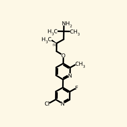 Cc1nc(-c2cc(Cl)ncc2F)ccc1OC[C@@H](C)CC(C)(C)N